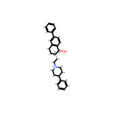 O[C@@H]1c2ccc(-c3ccccc3)cc2CC[C@H]1CCN1CCC(c2ccccc2)CC1